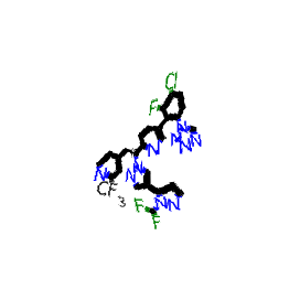 Fc1c(Cl)ccc(-n2cnnn2)c1-c1ccc([C@H](Cc2ccnc(C(F)(F)F)c2)n2cc(-c3ccnn3C(F)F)cn2)nc1